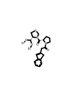 CCOC(OCC)[C@@H]1CSCN1C(=O)[C@@H]1CCCN1C(=O)CC1=Cc2ccccc2C1